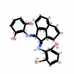 Brc1cccc(Br)c1/N=C1/C(=N/c2c(Br)cccc2Br)c2cccc3cccc1c23